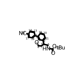 CC(C)(C)OC(=O)NCC1CCOc2c(-c3ccc(C#N)cc3)cccc21